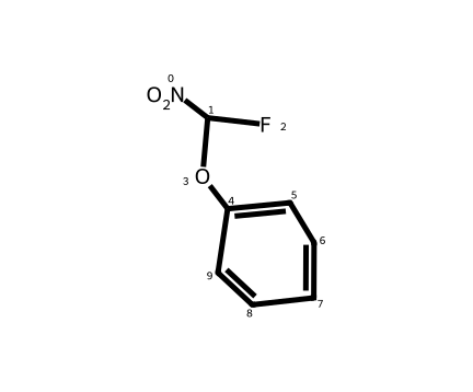 O=[N+]([O-])C(F)Oc1ccccc1